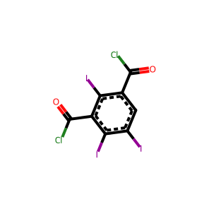 O=C(Cl)c1cc(I)c(I)c(C(=O)Cl)c1I